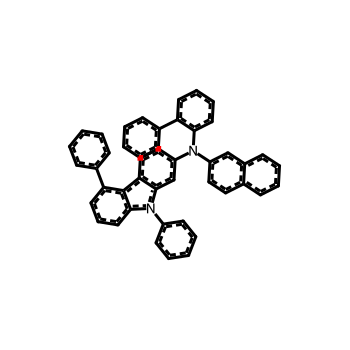 c1ccc(-c2ccccc2N(c2ccc3ccccc3c2)c2ccc3c4c(-c5ccccc5)cccc4n(-c4ccccc4)c3c2)cc1